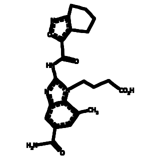 Cc1cc(C(N)=O)cc2nc(NC(=O)c3onc4c3CCCC4)n(CCCC(=O)O)c12